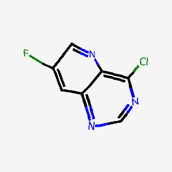 Fc1cnc2c(Cl)ncnc2c1